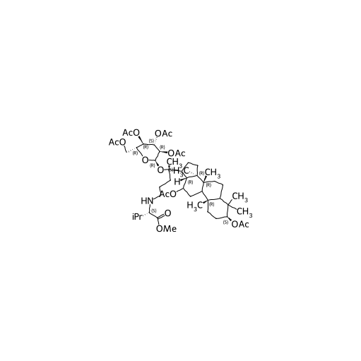 COC(=O)[C@@H](NCCC[C@](C)(O[C@H]1O[C@H](COC(C)=O)[C@@H](OC(C)=O)[C@H](OC(C)=O)[C@H]1OC(C)=O)C1CC[C@]2(C)[C@@H]1C(OC(C)=O)CC1[C@@]3(C)CC[C@H](OC(C)=O)C(C)(C)C3CC[C@]12C)C(C)C